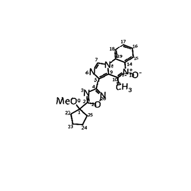 COC1(c2nc(-c3ncn4c3c(C)[n+]([O-])c3ccccc34)no2)CCCC1